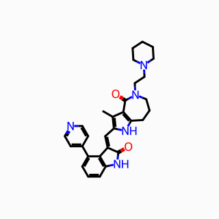 Cc1c(/C=C2\C(=O)Nc3cccc(-c4ccncc4)c32)[nH]c2c1C(=O)N(CCN1CCCCC1)CCC2